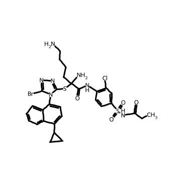 CCC(=O)NS(=O)(=O)c1ccc(NC(=O)C(N)(CCCCN)Sc2nnc(Br)n2-c2ccc(C3CC3)c3ccccc23)c(Cl)c1